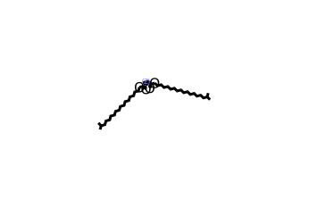 CC(C)CCCCCCCCCCCCCCCOC(=O)/C=C\C(=O)OCCCCCCCCCCCCCCCC(C)C